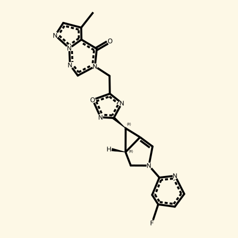 Cc1cnn2ncn(Cc3nc([C@H]4C5=CN(c6cc(F)ccn6)C[C@@H]54)no3)c(=O)c12